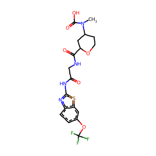 CN(C(=O)O)C1CCOC(C(=O)NCC(=O)Nc2nc3ccc(OC(F)(F)F)cc3s2)C1